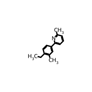 CCc1ccc(-c2cccc(C)n2)cc1C